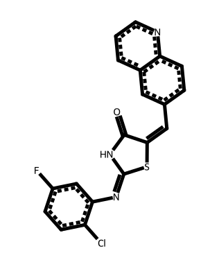 O=C1NC(=Nc2cc(F)ccc2Cl)SC1=Cc1ccc2ncccc2c1